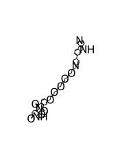 O=C1CCC(N2C(=O)c3ccc(OCCOCCOCCOCCOCCN4CCC(c5ccc6c(c5)[nH]c5ccncc56)CC4)cc3C2=O)C(=O)N1